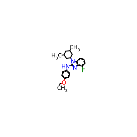 CCOc1ccc(Nc2nc3c(F)cccc3n2C2CC(C)CC(C)C2)cc1